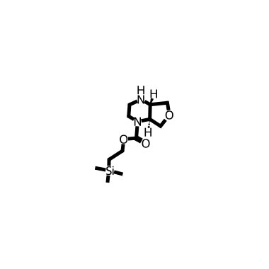 C[Si](C)(C)CCOC(=O)N1CCN[C@@H]2COC[C@H]21